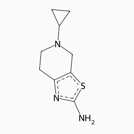 Nc1nc2c(s1)CN(C1CC1)CC2